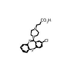 O=C(O)CCN1CCN(C2=Nc3ccccc3Sc3ccc(Cl)cc32)CC1